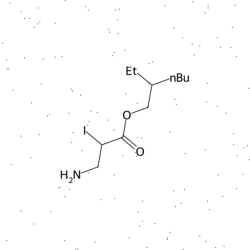 CCCCC(CC)COC(=O)C(I)CN